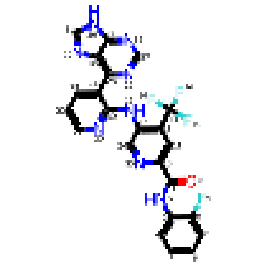 O=C(Nc1ccccc1F)c1cc(C(F)(F)F)c(Nc2ncccc2-c2ncnc3[nH]cnc23)cn1